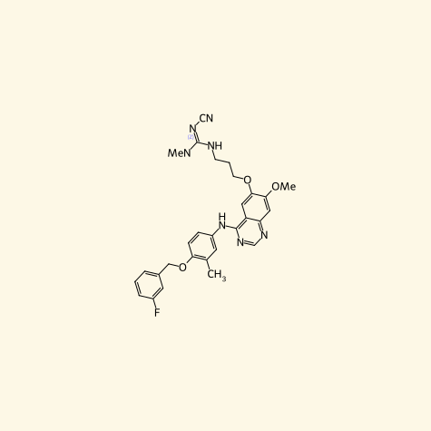 CN/C(=N/C#N)NCCCOc1cc2c(Nc3ccc(OCc4cccc(F)c4)c(C)c3)ncnc2cc1OC